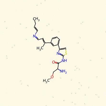 CC/C=C/N=C\C=C(/C)c1cccc(-c2csc(NC(=O)C(N)COC)n2)c1